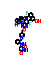 C#Cc1c(F)ccc2cc(O)cc(-c3ncc4c(N5C[C@H]6CC[C@@H](C5)N6)nc(OCC5CCN(Cc6ccccc6NC6CCC(=O)NC6=O)CC5)nc4c3F)c12